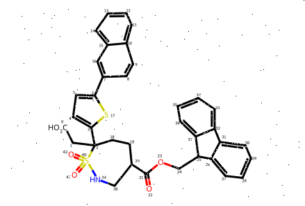 O=C(O)CC1(c2ccc(-c3ccc4ccccc4c3)s2)CCC(C(=O)OCC2c3ccccc3-c3ccccc32)CNS1(=O)=O